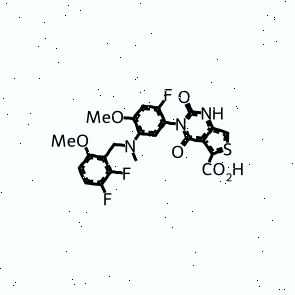 COc1cc(F)c(-n2c(=O)[nH]c3csc(C(=O)O)c3c2=O)cc1N(C)Cc1c(OC)ccc(F)c1F